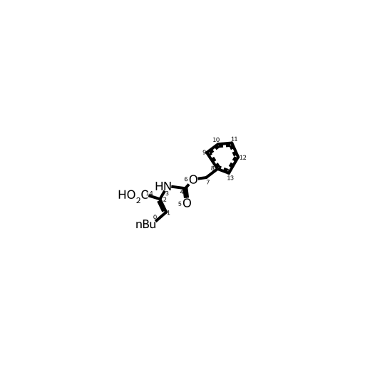 CCCCC=C(NC(=O)OCc1ccccc1)C(=O)O